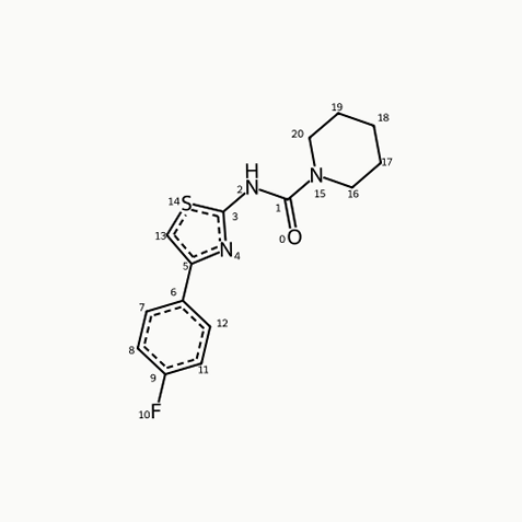 O=C(Nc1nc(-c2ccc(F)cc2)cs1)N1CCCCC1